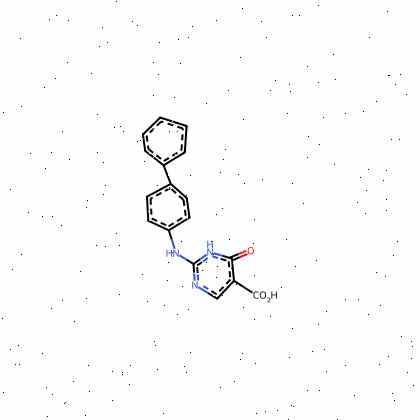 O=C(O)c1cnc(Nc2ccc(-c3ccccc3)cc2)[nH]c1=O